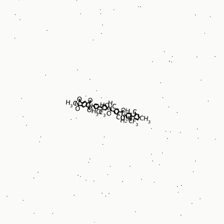 Cc1ccc(-c2ccc(NC(=O)c3cc(C(=O)O)c(C(=O)Nc4ccc(-c5ccc(-n6c(=O)c7cc8c(=O)n(C)c(=O)c8cc7c6=O)cc5C(F)(F)F)c(C)c4)cc3C(=O)O)cc2C(F)(F)F)c(C)c1